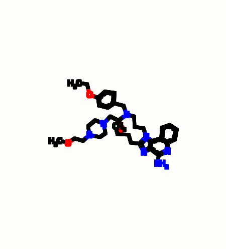 CCCCc1nc2c(N)nc3ccccc3c2n1CCCN(Cc1ccc(OCC)cc1)C(=O)CN1CCN(CCOC)CC1